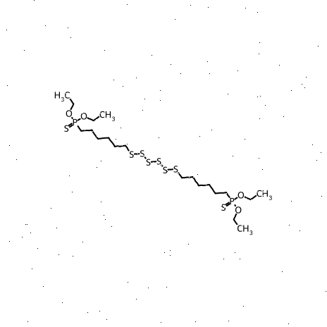 CCOP(=S)(CCCCCCSSSSSSCCCCCCP(=S)(OCC)OCC)OCC